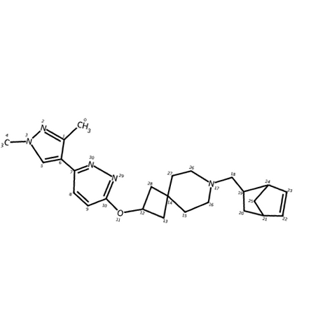 Cc1nn(C)cc1-c1ccc(OC2CC3(CCN(CC4CC5C=CC4C5)CC3)C2)nn1